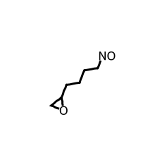 O=NCCCCC1CO1